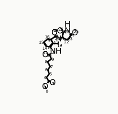 COC(=O)CCCCCCC(=O)Nc1cccc2c1CN(C1CCC(=O)NC1=O)C2=O